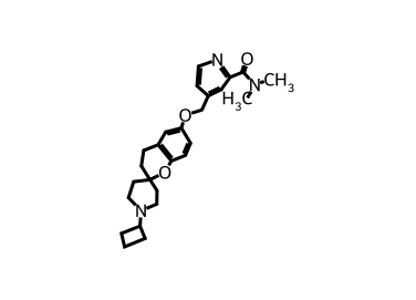 CN(C)C(=O)c1cc(COc2ccc3c(c2)CCC2(CCN(C4CCC4)CC2)O3)ccn1